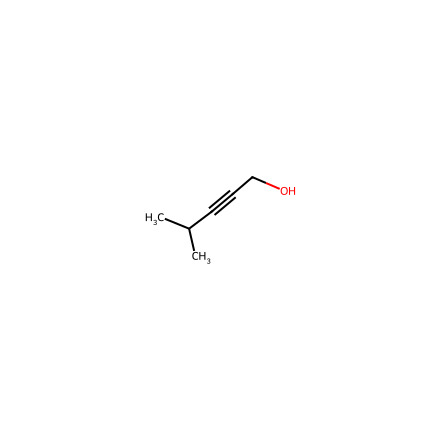 CC(C)C#CCO